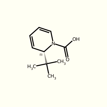 CC(C)(C)[C@@H]1C=CC=CN1C(=O)O